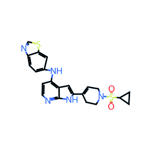 O=S(=O)(C1CC1)N1CC=C(c2cc3c(Nc4ccc5ncsc5c4)ccnc3[nH]2)CC1